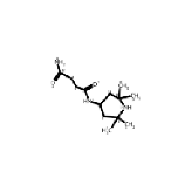 CC1(C)CC(NC(=O)CCC(N)=O)CC(C)(C)N1